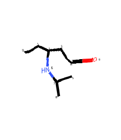 CCC(C[C]=O)NC(C)C